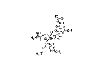 CNCC(=O)N[C@@H](CCCCN)C(=O)N[C@@H](CCCNC(=N)N)C(=O)N1CCC[C@H]1C(=O)N1C[C@H](O)C[C@H]1C(=O)NCC(=O)O